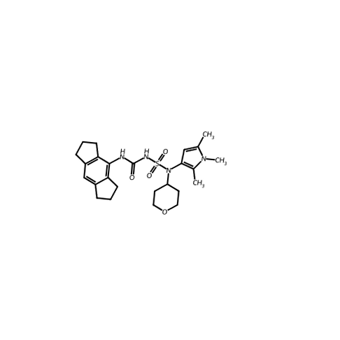 Cc1cc(N(C2CCOCC2)S(=O)(=O)NC(=O)Nc2c3c(cc4c2CCC4)CCC3)c(C)n1C